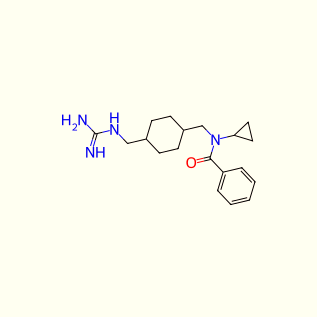 N=C(N)NCC1CCC(CN(C(=O)c2ccccc2)C2CC2)CC1